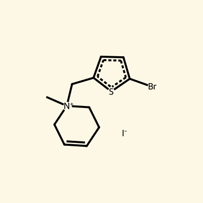 C[N+]1(Cc2ccc(Br)s2)CC=CCC1.[I-]